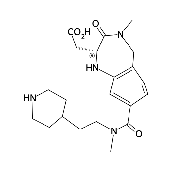 CN(CCC1CCNCC1)C(=O)c1ccc2c(c1)N[C@H](CC(=O)O)C(=O)N(C)C2